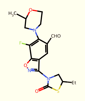 CCC1CN(c2noc3c(F)c(N4CCOC(C)C4)c(C=O)cc23)C(=O)S1